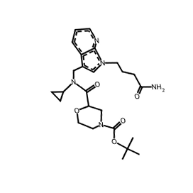 CC(C)(C)OC(=O)N1CCOC(C(=O)N(Cc2cn(CCCC(N)=O)c3ncccc23)C2CC2)C1